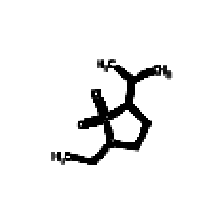 CCN1CCC(C(C)C)S1(=O)=O